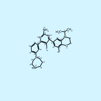 CC(C)N1CCOc2c(F)cc(-c3nc(N)nc(-c4cccc(N5CCCNCC5)c4)c3F)cc21